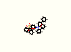 O=S1(=O)c2ccccc2C2(c3cc(N(c4ccc(-c5ccccc5)cc4)c4ccccc4-c4ccccc4)ccc31)[C@H]1CCC[C@@H]2CCC1